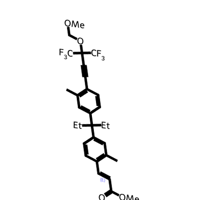 CCC(CC)(c1ccc(C#CC(OCOC)(C(F)(F)F)C(F)(F)F)c(C)c1)c1ccc(/C=C/C(=O)OC)c(C)c1